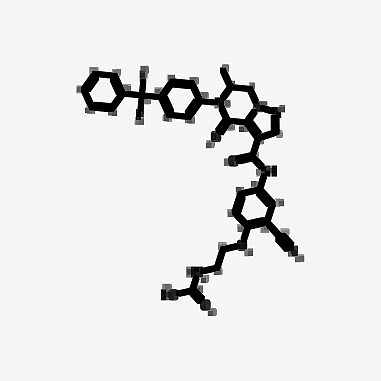 CC1Cn2ncc(C(=O)Nc3ccc(OCCNC(=O)O)c(C#N)c3)c2C(=O)N1c1ccc(C(F)(F)c2ccccc2)cc1